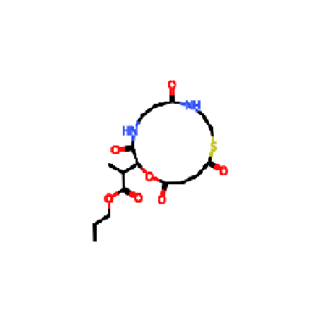 CCCOC(=O)C(C)C1OC(=O)CCC(=O)SCCNC(=O)CCNC1=O